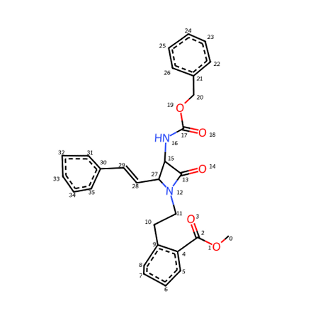 COC(=O)c1ccccc1CCN1C(=O)C(NC(=O)OCc2ccccc2)C1C=Cc1ccccc1